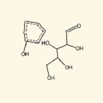 O=CC(O)C(O)C(O)CO.Oc1ccccc1